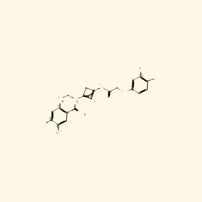 O=C(COc1ccc(Cl)c(F)c1)NC12CC(N3CNc4cc(F)c(F)cc4C3=O)(C1)C2